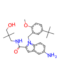 COc1ccc(C(C)(C)C)cc1Cn1c(C(=O)NCC(C)(C)CO)cc2cc(N)ccc21